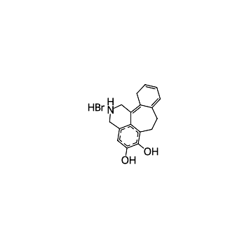 Br.Oc1cc2c3c(c1O)CCC1=CC=CCC1=C3CNC2